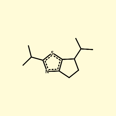 CC(C)c1nc2c(s1)C(C(C)C)CC2